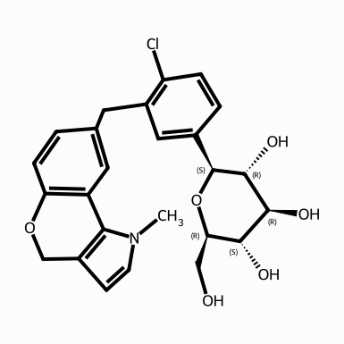 Cn1ccc2c1-c1cc(Cc3cc([C@@H]4O[C@H](CO)[C@@H](O)[C@H](O)[C@H]4O)ccc3Cl)ccc1OC2